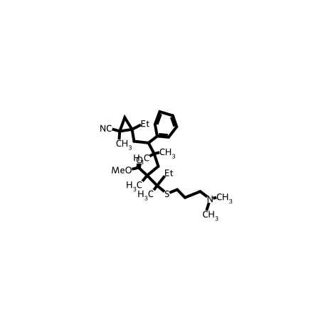 CCC1(CC(c2ccccc2)C(C)(C)CC(C)(C(=O)OC)C(C)(CC)SCCCN(C)C)CC1(C)C#N